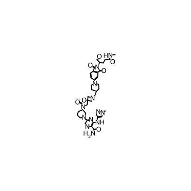 CNC(=O)CCC(C=O)N1C(=O)c2ccc(N3CCC(CN4CC5(C4)CN(C4CCCN(c6cnc(C(N)=O)c(Nc7cnn(C)c7)n6)C4)C(=O)O5)CC3)cc2C1=O